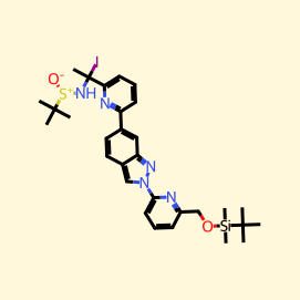 CC(I)(N[S@+]([O-])C(C)(C)C)c1cccc(-c2ccc3cn(-c4cccc(CO[Si](C)(C)C(C)(C)C)n4)nc3c2)n1